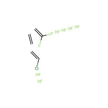 C=C.C=C(F)F.C=CCl.F.F.F.F.F.F